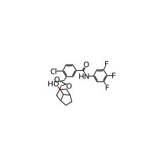 O=C(Nc1cc(F)c(F)c(F)c1)c1ccc(Cl)c(S(=O)(=O)CC2C3CCC2CC(O)C3)c1